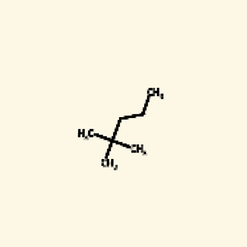 C[CH]CC(C)(C)C